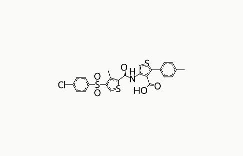 Cc1ccc(-c2scc(NC(=O)c3scc(S(=O)(=O)c4ccc(Cl)cc4)c3C)c2C(=O)O)cc1